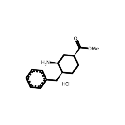 COC(=O)[C@H]1CC[C@@H](Cc2ccccc2)[C@@H](N)C1.Cl